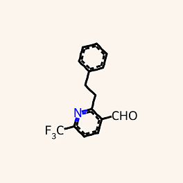 O=Cc1ccc(C(F)(F)F)nc1CCc1ccccc1